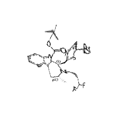 C[C@@H]1Cc2c(n(C(=O)OC(C)(C)C)c3ccccc23)[C@@H](c2ncc(Br)s2)N1CC(F)F